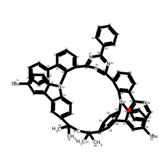 CC(C)(C)c1ccc2c(c1)c1cc3ccc1n2-c1c(-c2ccccn2)cccc1-c1nc(-c2ccccc2)nc(n1)-c1cccc(-c2ccccn2)c1-n1c2ccc(C(C)(C)C)cc2c2cc(ccc21)C(C)(C)CC3(C)C